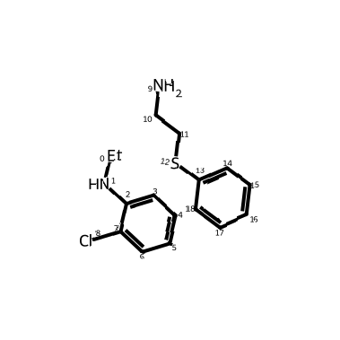 CCNc1ccccc1Cl.NCCSc1ccccc1